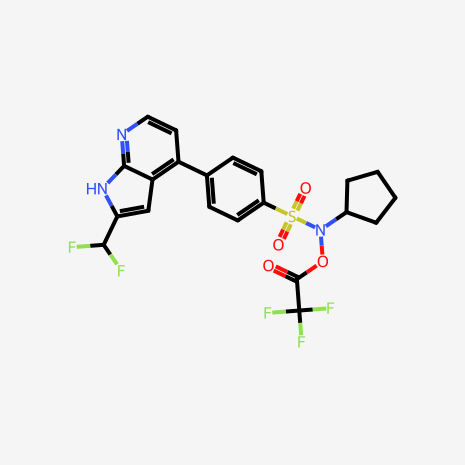 O=C(ON(C1CCCC1)S(=O)(=O)c1ccc(-c2ccnc3[nH]c(C(F)F)cc23)cc1)C(F)(F)F